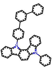 c1ccc(-c2cccc(-c3ccc(-n4c5ccccc5c5ccc6c(c7ccccc7n6-c6ccccc6)c54)cc3)c2)cc1